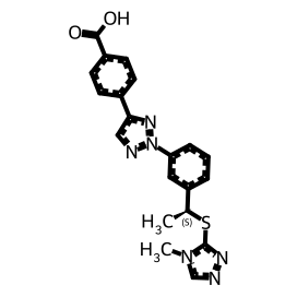 C[C@H](Sc1nncn1C)c1cccc(-n2ncc(-c3ccc(C(=O)O)cc3)n2)c1